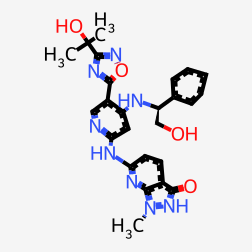 Cn1[nH]c(=O)c2ccc(Nc3cc(N[C@H](CO)c4ccccc4)c(-c4nc(C(C)(C)O)no4)cn3)nc21